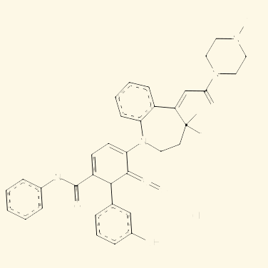 Cc1cccc(C2C(=C=O)C(N3CCC(F)(F)C(=CC(=O)N4CCN(C)CC4)c4ccccc43)=CC=C2C(=O)Nc2ccccc2)c1.Cl